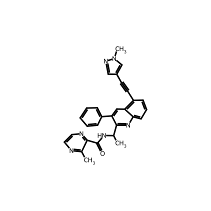 Cc1nccnc1C(=O)NC(C)c1nc2cccc(C#Cc3cnn(C)c3)c2cc1-c1ccccc1